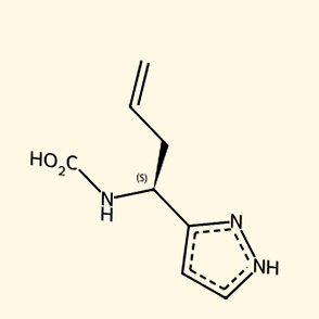 C=CC[C@H](NC(=O)O)c1cc[nH]n1